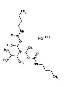 CCCCNC(=O)OC(C)N(C(C)OC(=O)NCCCC)C(C)C(C)N.Cl.Cl